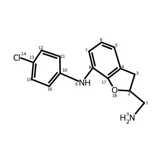 NCC1Cc2cccc(Nc3ccc(Cl)cc3)c2O1